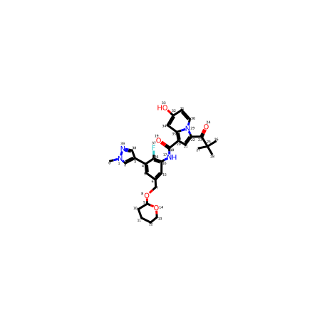 Cn1cc(-c2cc(COC3CCCCO3)cc(NC(=O)c3cc(C(=O)C(C)(C)C)n4ccc(O)cc34)c2F)cn1